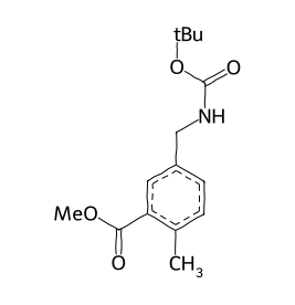 COC(=O)c1cc(CNC(=O)OC(C)(C)C)ccc1C